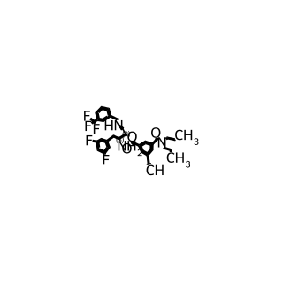 C#Cc1cc(C(=O)O[C@H](CNCc2cccc(C(F)(F)F)c2)[C@@H](N)Cc2cc(F)cc(F)c2)cc(C(=O)N(CCC)CCC)c1